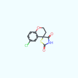 O=C1NC(=O)C2(CCOc3ccc(Cl)cc32)S1